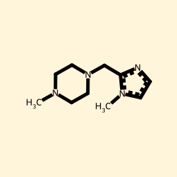 CN1CCN(Cc2nccn2C)CC1